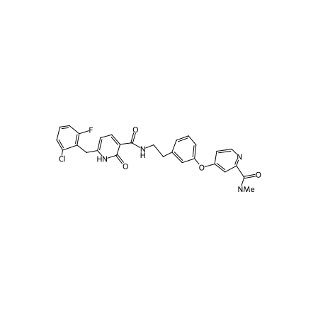 CNC(=O)c1cc(Oc2cccc(CCNC(=O)c3ccc(Cc4c(F)cccc4Cl)[nH]c3=O)c2)ccn1